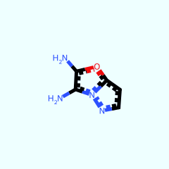 Nc1oc2ccnn2c1N